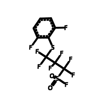 O=S(=O)(F)C(F)(F)C(F)(F)C(F)(F)Sc1c(F)cccc1F